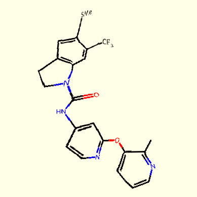 CSc1cc2c(cc1C(F)(F)F)N(C(=O)Nc1ccnc(Oc3cccnc3C)c1)CC2